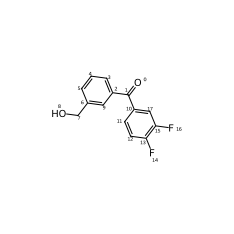 O=C(c1cccc(CO)c1)c1ccc(F)c(F)c1